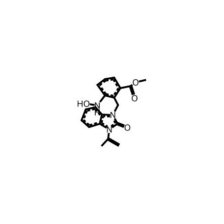 C=C(C)n1c(=O)n(Cc2c(NO)cccc2C(=O)OC)c2ccccc21